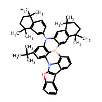 CC(C)(C)c1cc2c3c(c1)-n1c4oc5ccccc5c4c4cccc(c41)B3c1cc3c(cc1N2c1ccc2c(c1)C(C)(C)CCC2(C)C)C(C)(C)CCC3(C)C